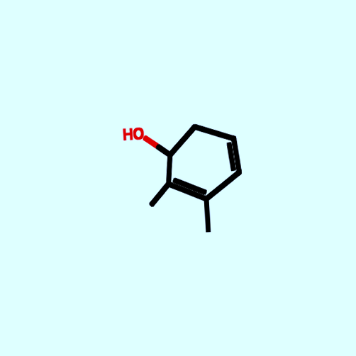 CC1=C(C)C(O)CC=C1